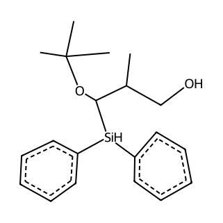 CC(CO)C(OC(C)(C)C)[SiH](c1ccccc1)c1ccccc1